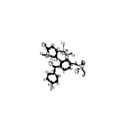 CCS(=O)(=O)Cc1ccc(C(=O)c2ccc(F)cc2)c(-c2cn(C)c(=O)cc2[C@@H](C)NC)c1